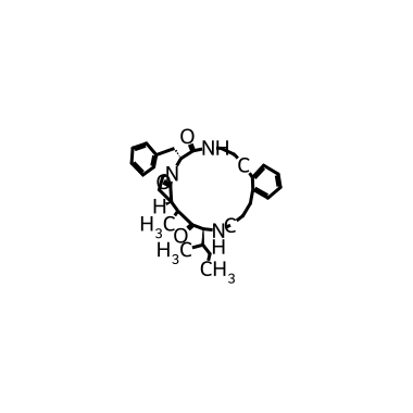 CCC(C)[C@@H]1NCCCc2ccccc2CCCNC(=O)[C@@H](Cc2ccccc2)N2CC[C@H](C2=O)C(C)C1=O